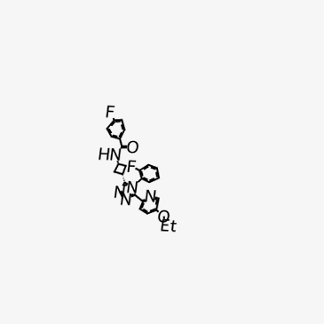 CCOc1ccc(-c2nnc([C@H]3C[C@H](NC(=O)c4ccc(F)cc4)C3)n2-c2ccccc2F)nc1